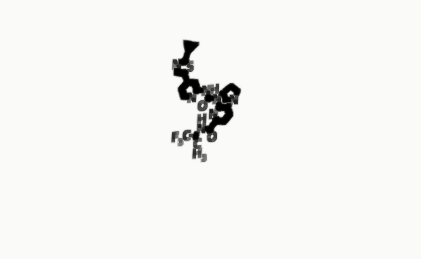 C[C@@H](NC(=O)c1ccc2c(n1)N(C(=O)Nc1cc(-c3cnc(C4CC4)s3)ccn1)C1CCN2C1)C(F)(F)F